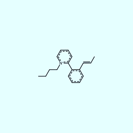 CC=Cc1ccccc1-c1cccc[n+]1CCCC